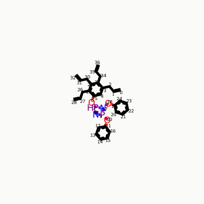 C=CCc1cc(O[PH]2=NP(Oc3ccccc3)N2Oc2ccccc2)c(CC=C)c(CC=C)c1CC=C